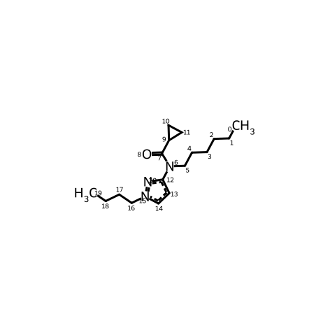 CCCCCCN(C(=O)C1CC1)c1ccn(CCCC)n1